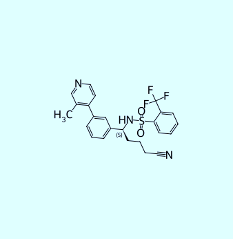 Cc1cnccc1-c1cccc([C@H](CCCC#N)NS(=O)(=O)c2ccccc2C(F)(F)F)c1